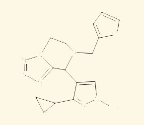 Cn1cc(C2c3nnnn3CCN2Cc2cccs2)c(C2CC2)n1